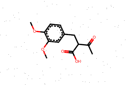 COc1ccc(CC(C(C)=O)C(=O)O)cc1OC